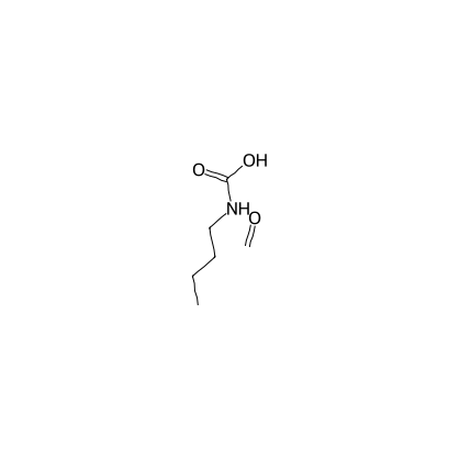 C=O.CCCCNC(=O)O